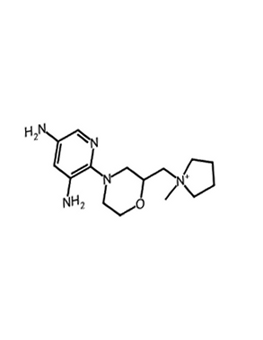 C[N+]1(CC2CN(c3ncc(N)cc3N)CCO2)CCCC1